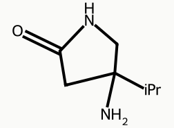 CC(C)C1(N)CNC(=O)C1